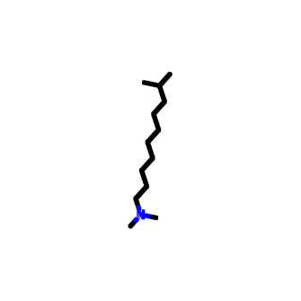 CC(C)CCCCCCCCN(C)C